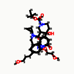 COCCCc1cc(CN(C(=O)C2CN(C(=O)OC(C)(C)C)CCC2(O)c2cc[nH]c(=O)c2)C2CC2)cc(OCCOC)c1